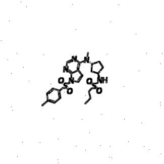 CCCS(=O)(=O)N[C@@H]1CC[C@@H](N(C)c2ncnc3c2ccn3S(=O)(=O)c2ccc(C)cc2)C1